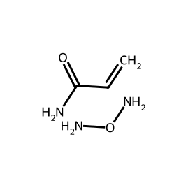 C=CC(N)=O.NON